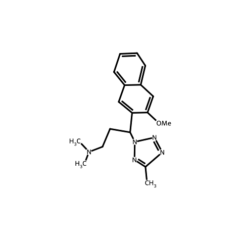 COc1cc2ccccc2cc1C(CCN(C)C)n1nnc(C)n1